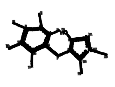 Cc1c(C)c(C)c(Cc2c(O)nn(C)c2C)c(C)c1C